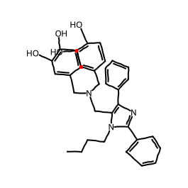 CCCCn1c(-c2ccccc2)nc(-c2ccccc2)c1CN(Cc1ccc(O)c(O)c1)Cc1ccc(O)c(O)c1